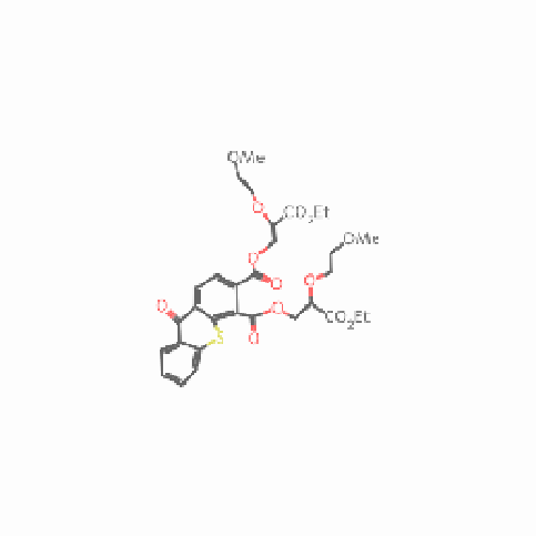 CCOC(=O)C(COC(=O)c1ccc2c(=O)c3ccccc3sc2c1C(=O)OCC(OCCOC)C(=O)OCC)OCCOC